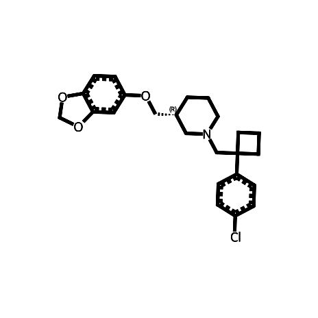 Clc1ccc(C2(CN3CCC[C@@H](COc4ccc5c(c4)OCO5)C3)CCC2)cc1